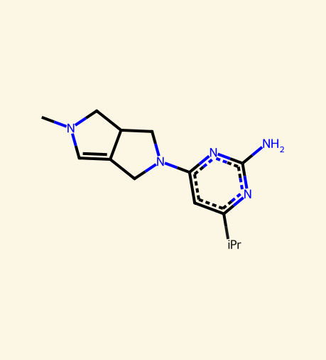 CC(C)c1cc(N2CC3=CN(C)CC3C2)nc(N)n1